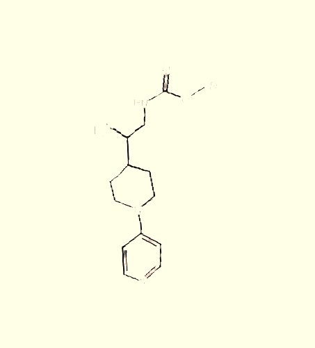 CC(C)(C)OC(=O)NCC(N)C1CCN(c2ccncc2)CC1